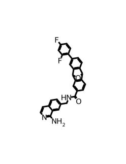 Nc1nccc2ccc(CNC(=O)c3ccc4c(c3)C3OC4c4ccc(-c5ccc(F)cc5F)cc43)cc12